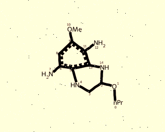 CCCOC1CNc2c(N)cc(OC)c(N)c2N1